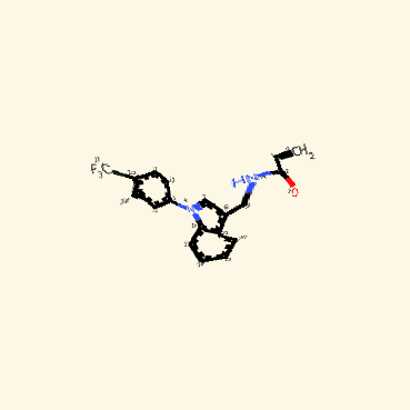 C=CC(=O)NCc1cn(-c2ccc(C(F)(F)F)cc2)c2ccccc12